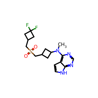 CN(c1ncnc2[nH]ccc12)C1CC(CS(=O)(=O)CC2CC(F)(F)C2)C1